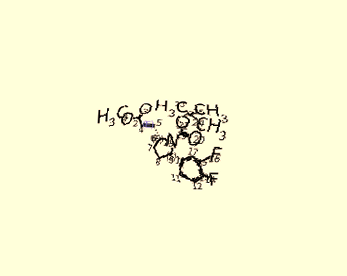 COC(=O)/C=C/[C@H]1CC[C@@H](c2ccc(F)c(F)c2)N1C(=O)OC(C)(C)C